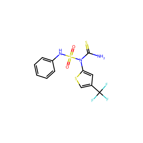 NC(=S)N(c1cc(C(F)(F)F)cs1)S(=O)(=O)Nc1ccccc1